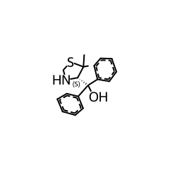 CC1(C)SCN[C@H]1C(O)(c1ccccc1)c1ccccc1